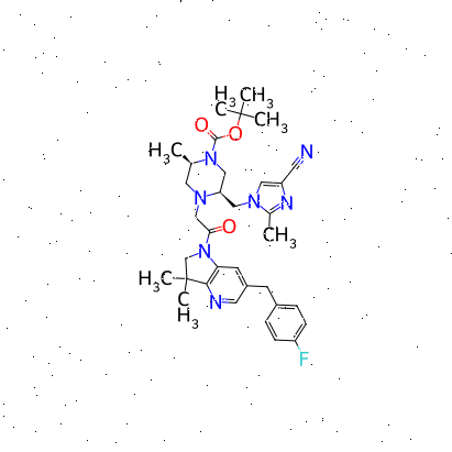 Cc1nc(C#N)cn1C[C@@H]1CN(C(=O)OC(C)(C)C)[C@H](C)CN1CC(=O)N1CC(C)(C)c2ncc(Cc3ccc(F)cc3)cc21